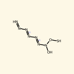 N=N/N=N/N=N/N(O)OS